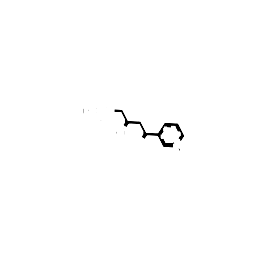 CCOC(=O)CC(=O)CC(=O)c1cccnc1